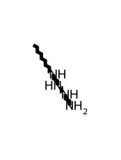 CCCCCCCCCNCCNCCNCCN